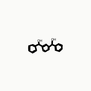 OC(c1ccccc1)c1cccc(C(O)c2ccccc2)c1